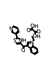 CCn1cc(C(=O)C2=CSC(c3cccnc3)N2)c2ccccc21.O=C(O)C(=O)O